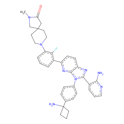 CN1CC2(CCN(c3cccc(-c4ccc5nc(-c6cccnc6N)n(-c6ccc(C7(N)CCC7)cc6)c5n4)c3F)CC2)CC1=O